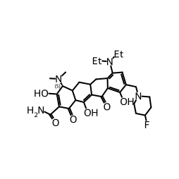 CCN(CC)c1cc(CN2CCC(F)CC2)c(O)c2c1CC1CC3C(C(=O)C(C(N)=O)=C(O)[C@H]3N(C)C)C(O)=C1C2=O